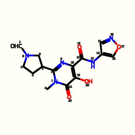 Cn1c(C2CCN(C=O)C2)nc(C(=O)Nc2cnoc2)c(O)c1=O